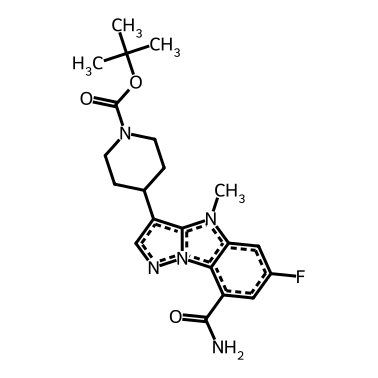 Cn1c2cc(F)cc(C(N)=O)c2n2ncc(C3CCN(C(=O)OC(C)(C)C)CC3)c12